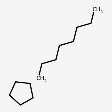 C1CCCC1.[CH2]CCCCCCC